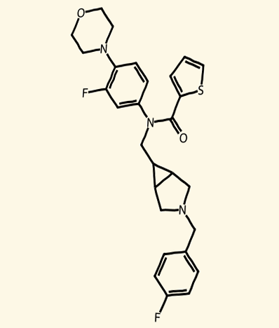 O=C(c1cccs1)N(CC1C2CN(Cc3ccc(F)cc3)CC21)c1ccc(N2CCOCC2)c(F)c1